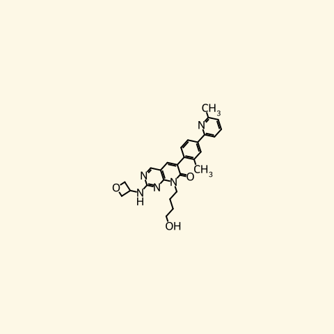 Cc1cccc(-c2ccc(-c3cc4cnc(NC5COC5)nc4n(CCCCO)c3=O)c(C)c2)n1